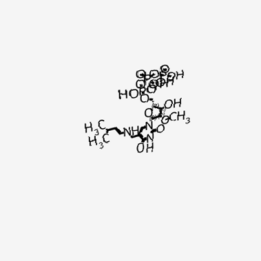 CO[C@@H]1[C@H](O)[C@@H](COP(=O)(O)OP(=O)(O)OP(=O)(O)O)O[C@H]1n1cc(CNC=CC(C)C)c(=O)[nH]c1=O